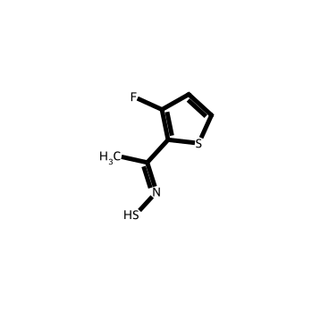 C/C(=N\S)c1sccc1F